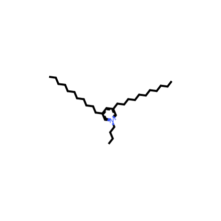 CCCCCCCCCCCc1cc(CCCCCCCCCCC)c[n+](CCCC)c1